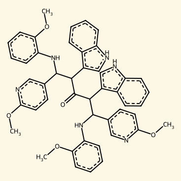 COc1ccc(C(Nc2ccccc2OC)C(C(=O)C(c2c[nH]c3ccccc23)C(Nc2ccccc2OC)c2ccc(OC)nc2)c2c[nH]c3ccccc23)cn1